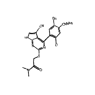 COc1cc(Cl)c(-c2nc(SCC(=O)N(C)C)nc3[nH]cc(C#N)c23)cc1O